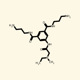 CCN(C)CC(=O)Nc1cc(C(=O)NCCCN)cc(C(=O)NCCCN)c1